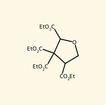 CCOC(=O)C1COC(C(=O)OCC)C1(C(=O)OCC)C(=O)OCC